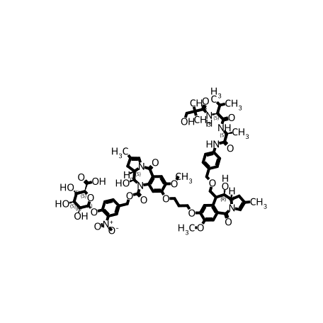 COc1cc2c(cc1OCCCOc1cc3c(cc1OC)C(=O)N1C=C(C)C[C@H]1[C@H](O)N3C(=O)OCc1ccc(O[C@@H]3O[C@H](C(=O)O)[C@@H](O)[C@H](O)[C@H]3O)c([N+](=O)[O-])c1)C(COCc1ccc(NC(=O)[C@H](C)NC(=O)[C@@H](NC(=O)C(C)(C)CO)C(C)C)cc1)[C@@H](O)[C@@H]1CC(C)=CN1C2=O